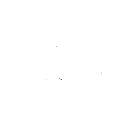 O=C(O)C1=CC2=C(C[C@]34CCN(CC5CC5)[C@H](Cc5ccc(O)cc53)[C@]4(O)C2)NC1O